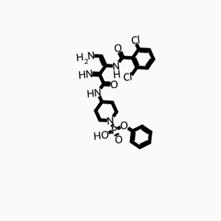 N=C(C(=O)NC1CCN(P(=O)(O)Oc2ccccc2)CC1)/C(=C\N)NC(=O)c1c(Cl)cccc1Cl